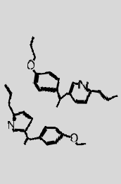 CCCOc1ccc(C(C)c2ccc(CCC)nc2)cc1.CCCc1ccc(C(C)c2ccc(OCC)cc2)cn1